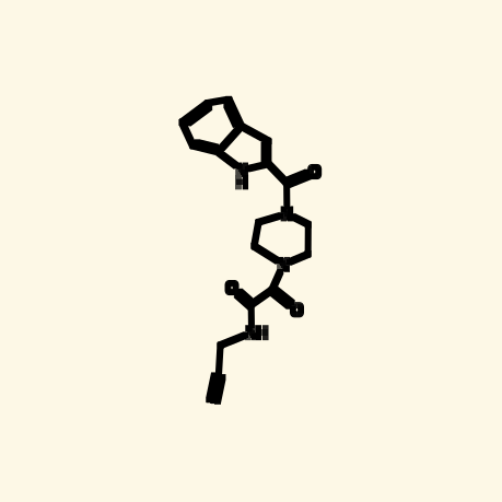 C#CCNC(=O)C(=O)N1CCN(C(=O)c2cc3ccccc3[nH]2)CC1